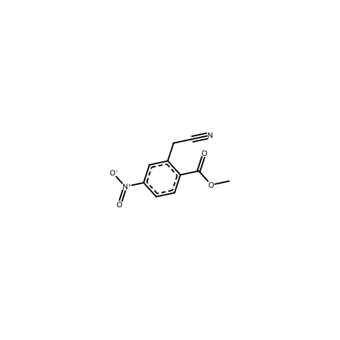 COC(=O)c1ccc([N+](=O)[O-])cc1CC#N